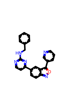 c1ccc(CNc2nccc(-c3ccc4noc(-c5cccnc5)c4c3)n2)cc1